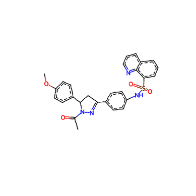 COc1ccc(C2CC(c3ccc(NS(=O)(=O)c4cccc5cccnc45)cc3)=NN2C(C)=O)cc1